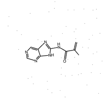 C=C(C)C(=O)Nc1nc2cncnc2[nH]1